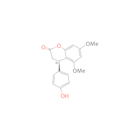 COc1cc(OC)c2c(c1)OC(=O)C[C@@H]2c1ccc(O)cc1